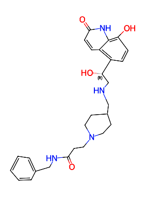 O=C(CCN1CCC(CNC[C@H](O)c2ccc(O)c3[nH]c(=O)ccc23)CC1)NCc1ccccc1